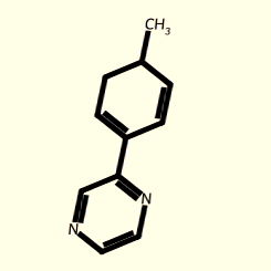 CC1C=CC(c2cnccn2)=CC1